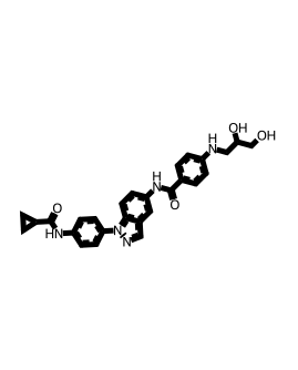 O=C(Nc1ccc2c(cnn2-c2ccc(NC(=O)C3CC3)cc2)c1)c1ccc(NCC(O)CO)cc1